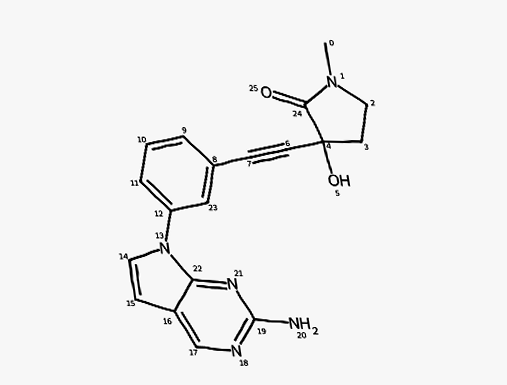 CN1CCC(O)(C#Cc2cccc(-n3ccc4cnc(N)nc43)c2)C1=O